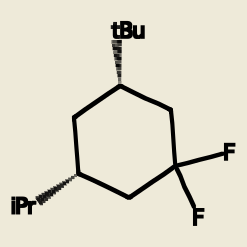 CC(C)[C@@H]1C[C@H](C(C)(C)C)CC(F)(F)C1